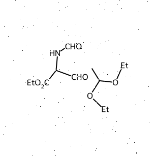 CCOC(=O)C(C=O)NC=O.CCOC(C)OCC